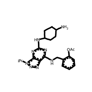 CC(=O)Oc1ccccc1CNc1nc(NC2CCC(N)CC2)nc2c1nnn2C(C)C